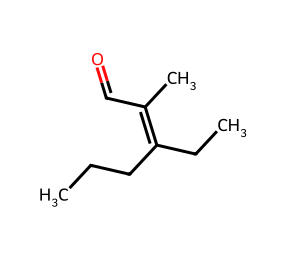 CCCC(CC)=C(C)C=O